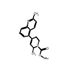 Cc1ccc2c(C3=CC(C)N(C(=O)OC(C)(C)C)CC3)cccc2n1